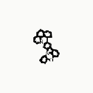 c1ccc2c(c1)Oc1cccc3c4cc(-c5cccc6ccc7cccnc7c56)ccc4n-2c13